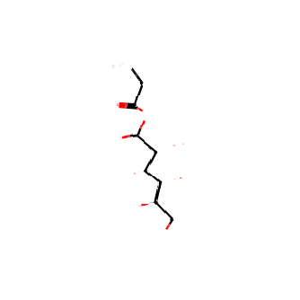 CCCCCCCCCCCC(=O)OC(O)[C@H](O)[C@@H](O)[C@H](O)[C@H](O)CO